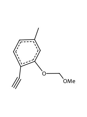 C#Cc1ccc(C)cc1OCOC